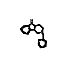 c1ccc(CN2CCC3Nc4ccccc4C3C2)cc1